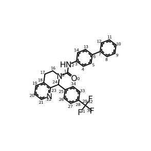 O=C(Nc1ccc(-c2ccccc2)cc1)N1CCc2cccnc2C1c1ccc(C(F)(F)F)cc1